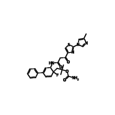 Cc1cn(-c2nc(C(=O)CC(=O)NC3C=C(c4ccccc4)C=CC3(F)CC(C)(C)OC(N)=O)cs2)cn1